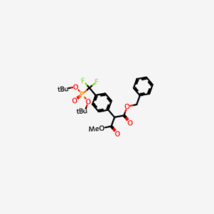 COC(=O)C(C(=O)OCc1ccccc1)c1ccc(C(F)(F)P(=O)(OC(C)(C)C)OC(C)(C)C)cc1